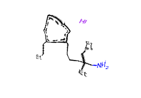 CCc1ccccc1CC(N)(CC)CC.I